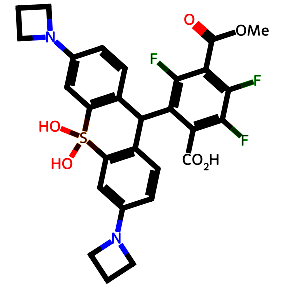 COC(=O)c1c(F)c(F)c(C(=O)O)c(C2c3ccc(N4CCC4)cc3S(O)(O)c3cc(N4CCC4)ccc32)c1F